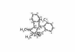 Cc1cccc(C)c1-n1c2ccccc2c2c1c(N)c(C)n2C